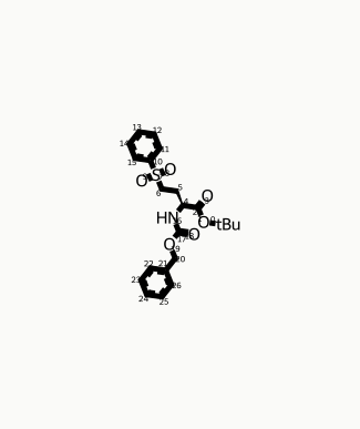 CC(C)(C)OC(=O)[C@H](CCS(=O)(=O)c1ccccc1)NC(=O)OCc1ccccc1